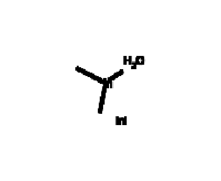 O.[CH3][In]([CH3])[CH3].[In]